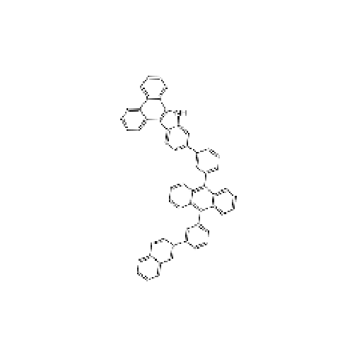 c1cc(-c2ccc3ccccc3c2)cc(-c2c3ccccc3c(-c3cccc(-c4ccc5c(c4)[nH]c4c6ccccc6c6ccccc6c54)c3)c3ccccc23)c1